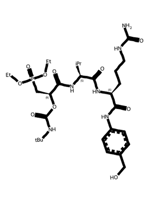 CCOP(=O)(C[C@H](OC(=O)NC(C)(C)C)C(=O)N[C@H](C(=O)N[C@@H](CCCNC(N)=O)C(=O)Nc1ccc(CO)cc1)C(C)C)OCC